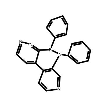 c1ccc(B2c3nnccc3-c3ccncc3N2c2ccccc2)cc1